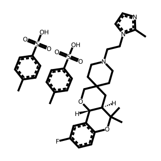 Cc1ccc(S(=O)(=O)O)cc1.Cc1ccc(S(=O)(=O)O)cc1.Cc1nccn1CCN1CCC2(CC1)CO[C@H]1c3cc(F)ccc3OC(C)(C)[C@@H]1C2